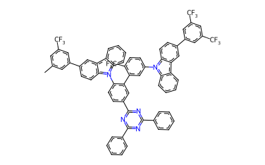 Cc1cc(-c2ccc3c(c2)c2ccccc2n3-c2ccc(-c3nc(-c4ccccc4)nc(-c4ccccc4)n3)cc2-c2cc(-n3c4ccccc4c4cc(-c5cc(C(F)(F)F)cc(C(F)(F)F)c5)ccc43)ccc2C(F)(F)F)cc(C(F)(F)F)c1